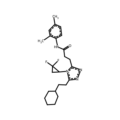 Cc1ccc(NC(=O)CCc2nnc(CCC3CCCCC3)n2C2CC2(F)F)c(C)c1